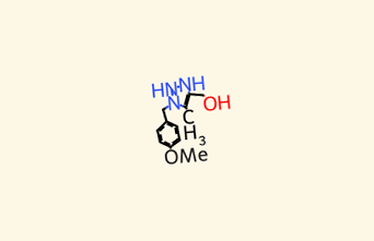 COc1ccc(CN2NNC(CO)=C2C)cc1